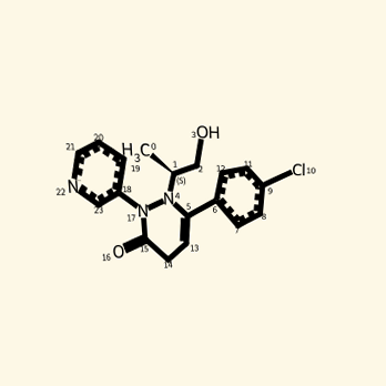 C[C@@H](CO)N1C(c2ccc(Cl)cc2)=CCC(=O)N1c1cccnc1